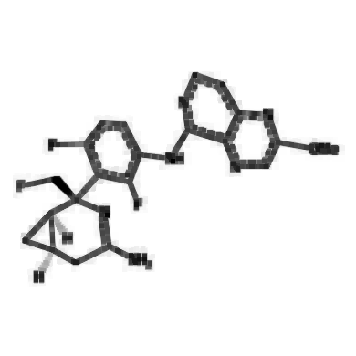 COc1cnc2c(Nc3ccc(F)c([C@]4(CF)N=C(N)C[C@H]5C[C@H]54)c3F)nccc2n1